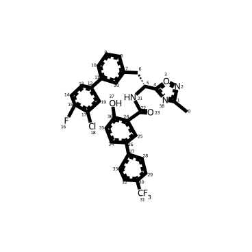 Cc1noc([C@@H](Cc2cccc(-c3ccc(F)c(Cl)c3)c2)NC(=O)c2cc(-c3ccc(C(F)(F)F)cc3)ccc2O)n1